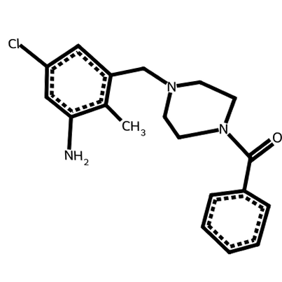 Cc1c(N)cc(Cl)cc1CN1CCN(C(=O)c2ccccc2)CC1